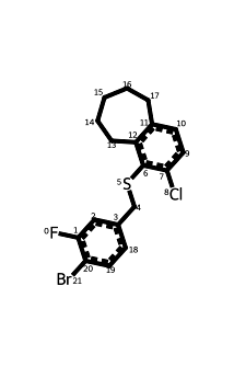 Fc1cc(CSc2c(Cl)ccc3c2CCCCC3)ccc1Br